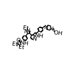 CCN(CC)C(=O)Nc1ccc(-c2nn(CC)cc2-c2ccnc3[nH]c(-c4ccc(CN5CCN(CCO)CC5)cc4)cc23)cc1